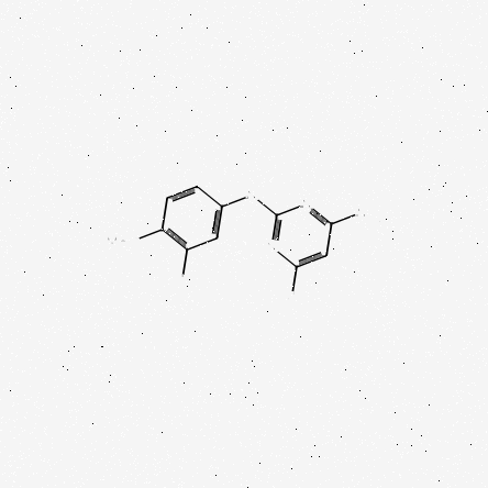 COc1ccc(Nc2nc(C)cc(N)n2)cc1Cl